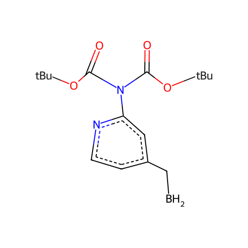 BCc1ccnc(N(C(=O)OC(C)(C)C)C(=O)OC(C)(C)C)c1